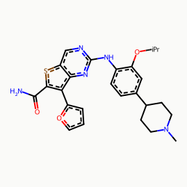 CC(C)Oc1cc(C2CCN(C)CC2)ccc1Nc1ncc2sc(C(N)=O)c(-c3ccco3)c2n1